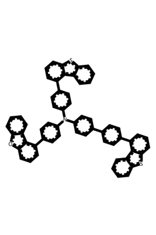 c1ccc2c(c1)oc1cccc(-c3ccc(N(c4ccc(-c5ccc(-c6cccc7sc8ccccc8c67)cc5)cc4)c4ccc(-c5cccc6sc7ccccc7c56)cc4)cc3)c12